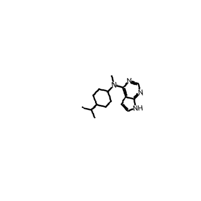 CC(C)C1CCC(N(C)c2ncnc3[nH]ccc23)CC1